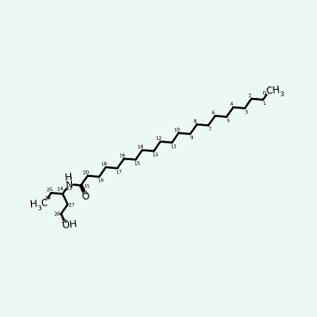 CCCCCCCCCCCCCCCCCCCCCC(=O)N[C](CC)CCO